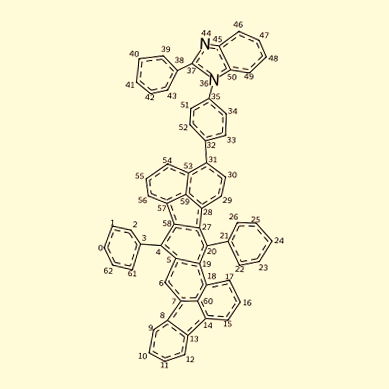 c1ccc(-c2c3cc4c5ccccc5c5cccc(c3c(-c3ccccc3)c3c6ccc(-c7ccc(-n8c(-c9ccccc9)nc9ccccc98)cc7)c7cccc(c23)c76)c54)cc1